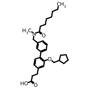 CCCCCCCC(=O)N(C)Cc1cccc(-c2ccc(CCC(=O)O)cc2OCC2CCCC2)c1